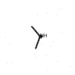 CCCCCCCCCCCCCCC1CNCCN1CCCCCCCCCCCCCC